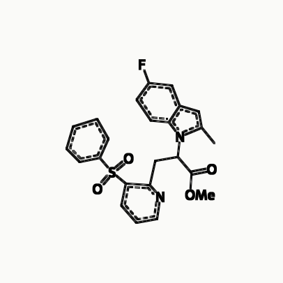 COC(=O)C(Cc1ncccc1S(=O)(=O)c1ccccc1)n1c(C)cc2cc(F)ccc21